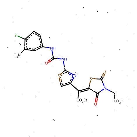 CCOC(=O)C(=C1SC(=S)N(CC(=O)O)C1=O)c1csc(NC(=O)Nc2ccc(F)c([N+](=O)[O-])c2)n1